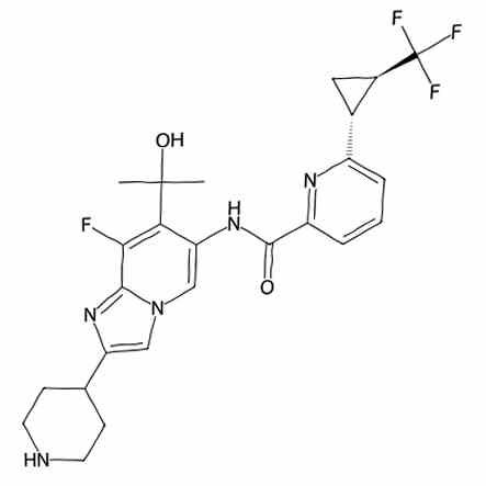 CC(C)(O)c1c(NC(=O)c2cccc([C@@H]3C[C@H]3C(F)(F)F)n2)cn2cc(C3CCNCC3)nc2c1F